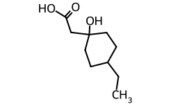 CCC1CCC(O)(CC(=O)O)CC1